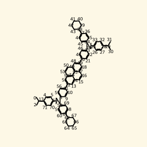 CC(C)c1ccc(N(c2ccc(-c3cc4ccc5cc(-c6ccc(N(c7ccc(C(C)C)cc7)c7ccc(C8CCCCC8)cc7)cc6)cc6ccc(c3)c4c56)cc2)c2ccc(C3CCCCC3)cc2)cc1